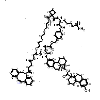 C[C@]1(C(=O)NC(=O)[C@@]2(C)CCC[C@]3(C)c4cc(NC(=O)[C@H](CO)NC(=O)OCc5ccc(NC(=O)[C@H](CCCNC(N)=O)NC(=O)C6(C(=O)NCCOCCOCCOCCNC(=O)CCC(=O)N7Cc8ccccc8/C=C\c8ccccc87)CCC6)cc5)ccc4CC[C@@H]23)CCC[C@]2(C)c3cc(O)ccc3CC[C@@H]12